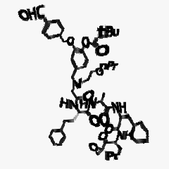 CCCOCCN(CC(=O)N[C@@H](CCc1ccccc1)C(=O)N[C@@H](C)C(=O)N[C@@H](Cc1ccccc1)C(=O)N[C@@H](CC(C)C)C(=O)[C@@]1(C)CO1)Cc1ccc(OC(=O)C(C)(C)C)c(OCc2ccc(C=O)cc2)c1